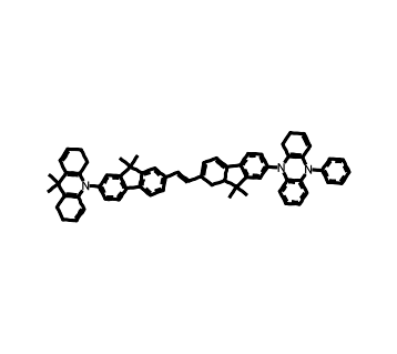 CC1(C)C2=C(CCC=C2)N(c2ccc3c(c2)C(C)(C)c2cc(/C=C/C4=CC=C5c6ccc(N7C8=C(C=CCC8)N(c8ccccc8)c8ccccc87)cc6C(C)(C)C5C4)ccc2-3)C2=C1CCC=C2